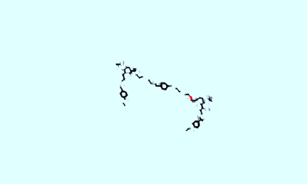 CC(=O)Nc1ccc(C(=O)NC[C@@H](O)[C@@H](O)[C@@H]2O[C@@](OCCCSCCNC(=O)c3ccc(C(=O)NCCSCCCO[C@]4(C(O)O)C[C@H](O)[C@@H](NC(C)=O)[C@H]([C@H](O)[C@H](O)CNC(=O)c5ccc(NC(C)=O)cc5)O4)cc3)(C(=O)O)C[C@H](O)[C@H]2NC(C)=O)cc1